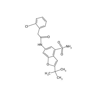 CC(C)(C)c1cc2c(S(N)(=O)=O)cc(NC(=O)Cc3ccccc3Cl)cc2o1